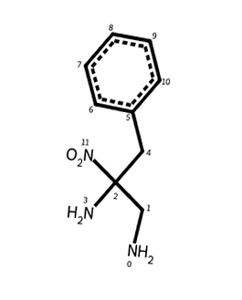 NCC(N)(Cc1ccccc1)[N+](=O)[O-]